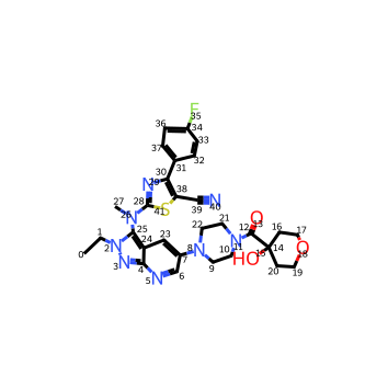 CCn1nc2ncc(N3CCN(C(=O)C4(O)CCOCC4)CC3)cc2c1N(C)c1nc(-c2ccc(F)cc2)c(C#N)s1